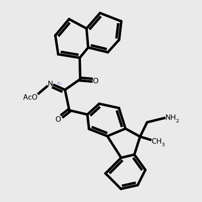 CC(=O)O/N=C(\C(=O)c1ccc2c(c1)-c1ccccc1C2(C)CN)C(=O)c1cccc2ccccc12